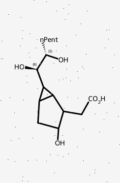 CCCCC[C@H](O)[C@H](O)C1C2CC(O)C(CC(=O)O)C21